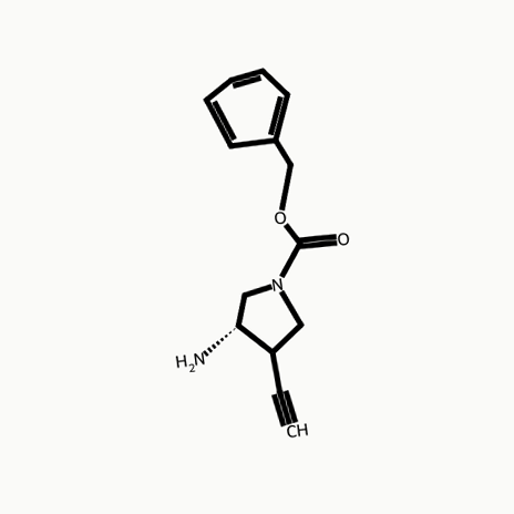 C#CC1CN(C(=O)OCc2ccccc2)C[C@H]1N